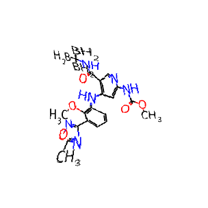 BC(B)(B)NC(=O)c1cnc(NC(=O)OC)cc1Nc1cccc(-c2noc(C)n2)c1OC